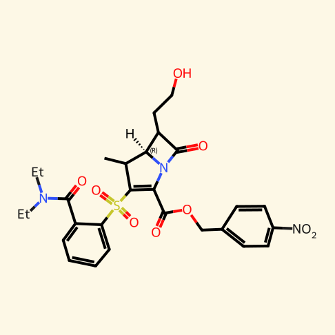 CCN(CC)C(=O)c1ccccc1S(=O)(=O)C1=C(C(=O)OCc2ccc([N+](=O)[O-])cc2)N2C(=O)C(CCO)[C@@H]2C1C